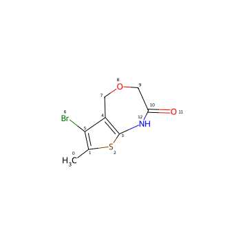 Cc1sc2c(c1Br)COCC(=O)N2